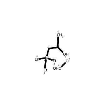 CC[N+](CC)(CC)CC(C)O.O=C[O-]